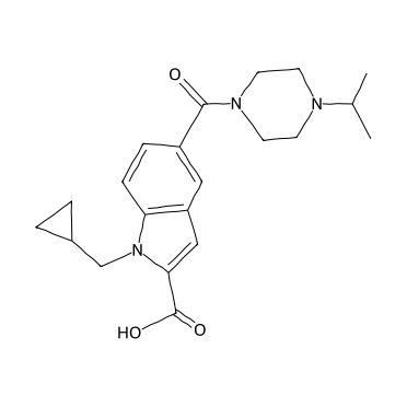 CC(C)N1CCN(C(=O)c2ccc3c(c2)cc(C(=O)O)n3CC2CC2)CC1